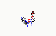 O=C(Nc1cccc(OCC2CCOC2)n1)Nc1csc(-c2ccncc2)n1